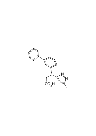 Cc1nnc(C(CC(=O)O)c2cccc(-c3ccccc3)c2)o1